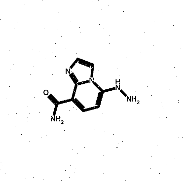 NNc1ccc(C(N)=O)c2nccn12